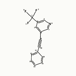 FC(F)(F)c1cncc(C#Cc2ccccc2)c1